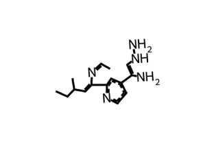 C/C=N\C(=C/C(C)CC)c1cc(/C(N)=C/NN)ccn1